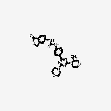 C[C@H]1COCCN1c1nc(-c2ccc(NC(=O)Nc3ccc4c(c3)COC4=O)cc2)nc(N2CCOCC2)n1